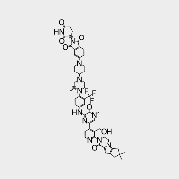 C[C@H]1CN(C2CCN(c3ccc4c(c3)C(=O)N([C@H]3CCC(=O)NC3=O)C4=O)CC2)CCN1c1ccc(Nc2nc(-c3ccnc(N4CCn5c(cc6c5CC(C)(C)C6)C4=O)c3CO)cn(C)c2=O)cc1C(F)(F)F